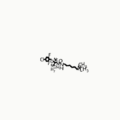 CN(C)CCCCCCNC(=O)Nc1snc(OCc2c(F)cc(Cl)cc2F)c1C(N)=O